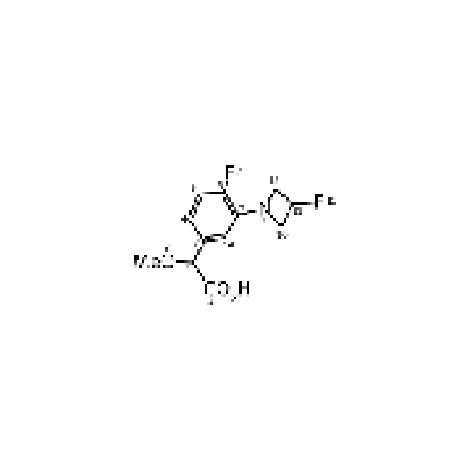 COC(C(=O)O)c1ccc(F)c(N2CC(F)C2)c1